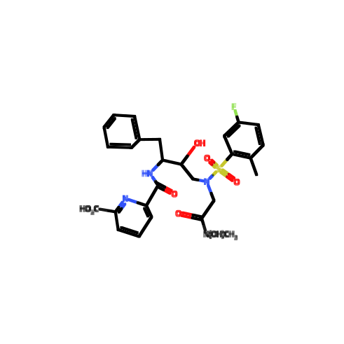 Cc1ccc(F)cc1S(=O)(=O)N(CC(=O)N(C)O)CC(O)C(Cc1ccccc1)NC(=O)c1cccc(C(=O)O)n1